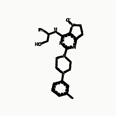 Cc1cccc(N2CCN(c3nc4c(c(NC(CO)C(C)C)n3)[S+]([O-])CC4)CC2)c1